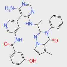 Cc1ccn2nc(C(C)Nc3ncnc(N)c3-c3cncc(NC(=O)c4cccc(O)c4)c3)n(-c3ccccc3)c(=O)c12